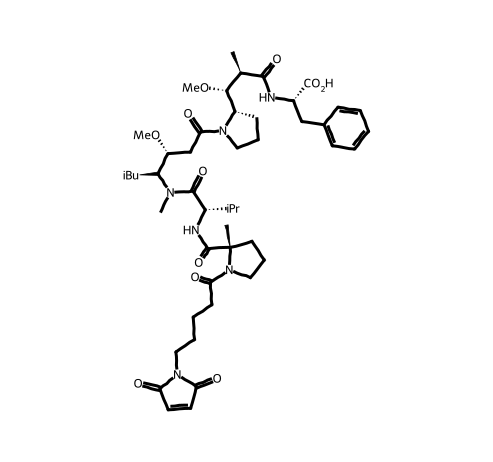 CC[C@H](C)C([C@@H](CC(=O)N1CCC[C@H]1[C@H](OC)[C@@H](C)C(=O)N[C@@H](Cc1ccccc1)C(=O)O)OC)N(C)C(=O)[C@@H](NC(=O)[C@]1(C)CCCN1C(=O)CCCCN1C(=O)C=CC1=O)C(C)C